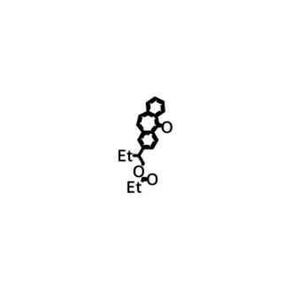 CCC(=O)OCC(CC)c1ccc2c(=O)c3ccccc3ccc2c1